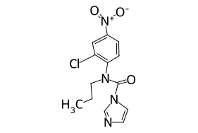 CCCN(C(=O)n1ccnc1)c1ccc([N+](=O)[O-])cc1Cl